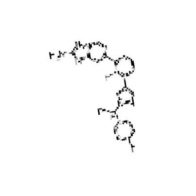 CC[C@H](c1ccc(F)cc1)n1cc(-c2cccc(-c3ccn4nc(N)nc4c3)c2F)cn1